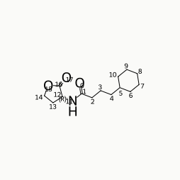 O=C(CCCC1CCCCC1)N[C@@H]1CCOC1=O